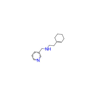 C1=C(CCNCc2cccnc2)CCCC1